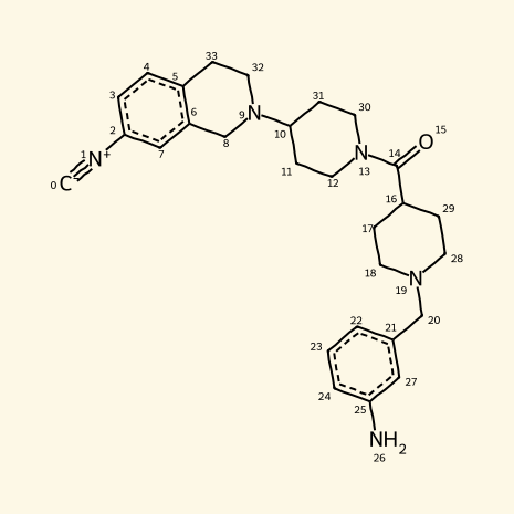 [C-]#[N+]c1ccc2c(c1)CN(C1CCN(C(=O)C3CCN(Cc4cccc(N)c4)CC3)CC1)CC2